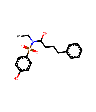 CC(C)CN(C(O)CCCc1ccccc1)S(=O)(=O)c1ccc(O)cc1